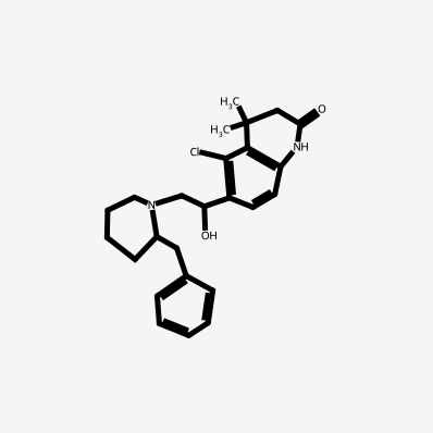 CC1(C)CC(=O)Nc2ccc(C(O)CN3CCCCC3Cc3ccccc3)c(Cl)c21